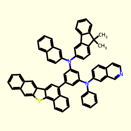 CC1(C)c2ccccc2-c2cc(N(c3cc(-c4cc5c6cc7ccccc7cc6sc5c5ccccc45)cc(N(c4ccccc4)c4ccc5ccncc5c4)c3)c3ccc4ccccc4c3)ccc21